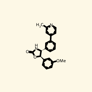 COc1cccc([C@H]2OC(=O)N[C@@H]2c2cccc(-c3ccnc(C)c3)c2)c1